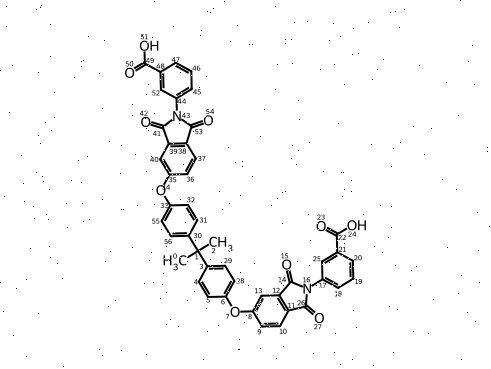 CC(C)(c1ccc(Oc2ccc3c(c2)C(=O)N(c2cccc(C(=O)O)c2)C3=O)cc1)c1ccc(Oc2ccc3c(c2)C(=O)N(c2cccc(C(=O)O)c2)C3=O)cc1